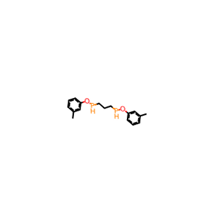 Cc1cccc(OPCCCPOc2cccc(C)c2)c1